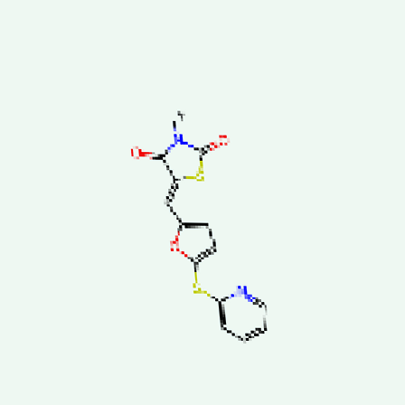 CC(C)N1C(=O)S/C(=C\c2ccc(Sc3ccccn3)o2)C1=O